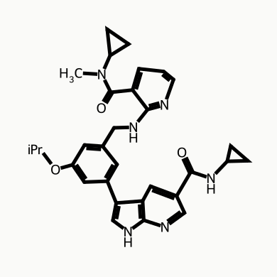 CC(C)Oc1cc(CNc2ncccc2C(=O)N(C)C2CC2)cc(-c2c[nH]c3ncc(C(=O)NC4CC4)cc23)c1